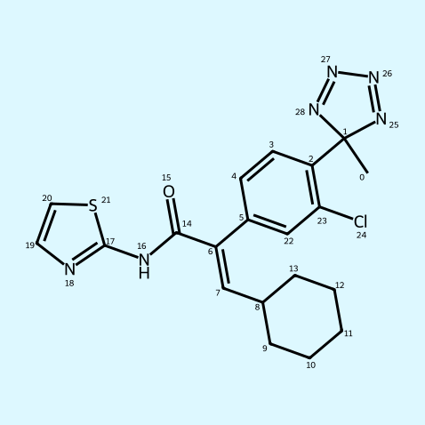 CC1(c2ccc(/C(=C\C3CCCCC3)C(=O)Nc3nccs3)cc2Cl)N=NN=N1